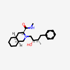 CNC(=O)[C@@H]1C[C@@H]2CCCC[C@@H]2CN1C[C@@H](O)[C@@H](C)Cc1ccccc1